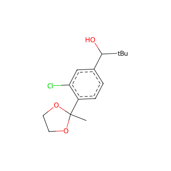 CC1(c2ccc(C(O)C(C)(C)C)cc2Cl)OCCO1